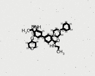 CCNC(=O)c1ccc(-c2cc(OC3CCOCC3)c3c(C)n[nH]c3c2)cc1N1CCN(c2ccccc2)CC1